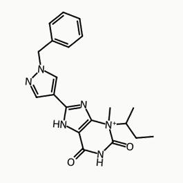 CCC(C)[N+]1(C)C(=O)NC(=O)c2[nH]c(-c3cnn(Cc4ccccc4)c3)nc21